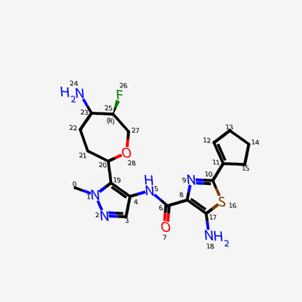 Cn1ncc(NC(=O)c2nc(C3=CCCC3)sc2N)c1C1CCC(N)[C@@H](F)CO1